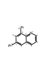 CC(C)c1cc2cccnc2c(C(C)C)n1